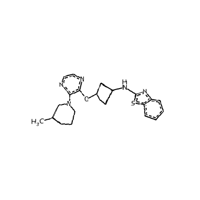 CC1CCCN(c2nccnc2OC2CC(Nc3nc4ccccc4s3)C2)C1